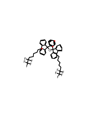 FC(F)(F)C(F)(F)CCCCCCc1ccccc1C(OC(c1ccccc1)(c1ccccc1)c1ccccc1CCCCCCC(F)(F)C(F)(F)F)(c1ccccc1)c1ccccc1